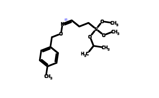 CO[Si](CC/C=N\OCc1ccc(C)cc1)(OC)OC(C)C